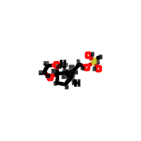 CS(=O)(=O)OC[C@H]1[C@H]2CCC3(OCCO3)[C@H]21